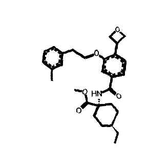 CC[C@H]1CC[C@@](NC(=O)c2ccc(C3COC3)c(OCCc3cccc(C)c3)c2)(C(=O)OC)CC1